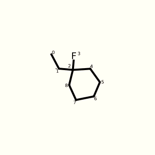 C[CH]C1(F)CCCCC1